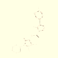 Cc1c(C(=O)Nc2c(C)n(C)n(C3CCCCC3)c2=O)noc1-c1ccc(F)cc1